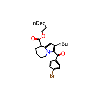 CCCCCCCCCCCCOC(=O)C1CCCCn2c1cc(CCCC)c2C(=O)c1ccc(Br)cc1